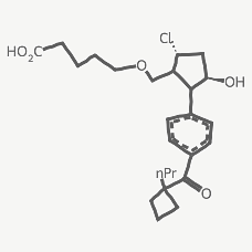 CCCC1(C(=O)c2ccc(C3C(COCCCCC(=O)O)[C@H](Cl)C[C@H]3O)cc2)CCC1